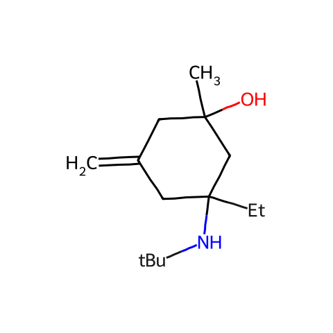 C=C1CC(C)(O)CC(CC)(NC(C)(C)C)C1